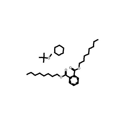 C1CCCCC1.CCCCCCCCOC(=O)c1ccccc1C(=O)OCCCCCCCC.COC(C)(C)C